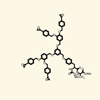 COC(=O)C(C)NC(=O)C(Cc1ccc(OCc2cc(OCc3ccc(OCc4ccc(C5CO5)cc4)c(OCc4ccc(C5CO5)cc4)c3)cc(OCc3ccc(OCc4ccc(C5CO5)cc4)c(OCc4ccc(C5CO5)cc4)c3)c2)cc1)NC(=O)OC(C)(C)C